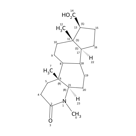 CN1C(=O)CC[C@]2(C)C3CC[C@]4(C)[C@@H](C(=O)O)CC[C@H]4C3CC[C@@H]12